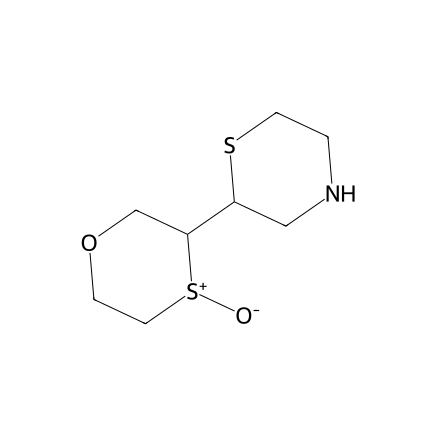 [O-][S+]1CCOCC1C1CNCCS1